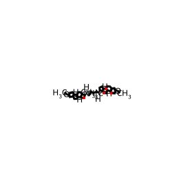 COc1ccc2c(c1)CC[C@@H]1[C@@H]2CC[C@]2(C)[C@@H](NCCCCN[C@H]3CC[C@H]4[C@@H]5CCc6cc(OC)ccc6[C@H]5CC[C@]34C)CC[C@@H]12